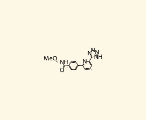 COCNC(=O)c1ccc(-c2c[c]cc(-c3nnn[nH]3)n2)cc1